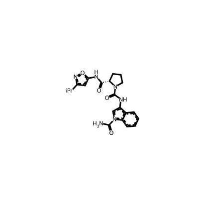 CC(C)c1cc(NC(=O)[C@@H]2CCCN2C(=O)Nc2cn(C(N)=O)c3ccccc23)on1